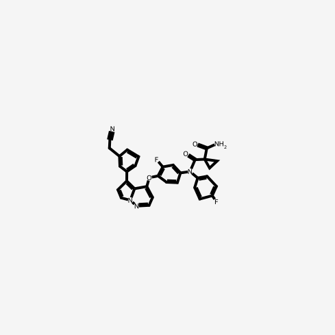 N#CCc1cccc(-c2ccn3nccc(Oc4ccc(N(C(=O)C5(C(N)=O)CC5)c5ccc(F)cc5)cc4F)c23)c1